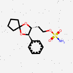 NS(=O)(=O)OCC[C@H]1OC2(CCCC2)O[C@@H]1c1ccccc1